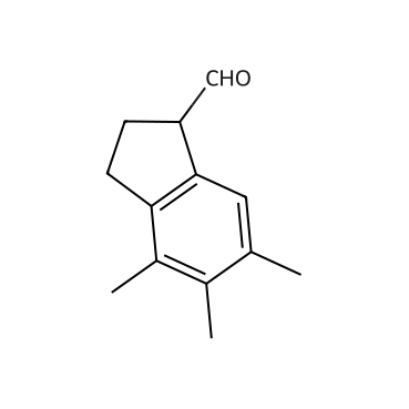 Cc1cc2c(c(C)c1C)CCC2C=O